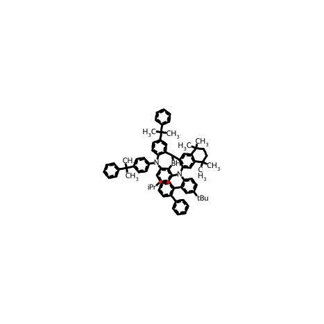 CC(C)c1cc2c3c(c1)N(c1ccc(C(C)(C)C)cc1-c1ccccc1-c1ccccc1)c1cc4c(cc1C(B3)c1cc(C(C)(C)c3ccccc3)ccc1N2c1ccc(C(C)(C)c2ccccc2)cc1)C(C)(C)CCC4(C)C